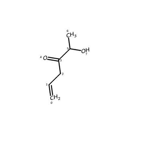 C=CCC(=O)C(C)O